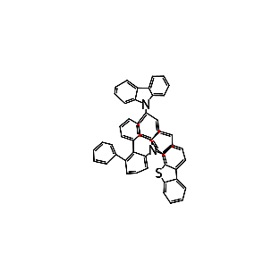 c1ccc(-c2ccccc2-c2c(-c3ccccc3)cccc2N(c2ccc(-n3c4ccccc4c4ccccc43)cc2)c2cccc3c2sc2ccccc23)cc1